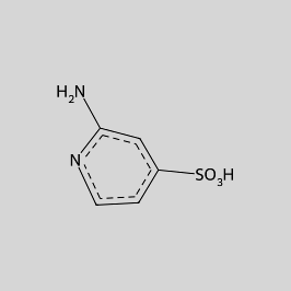 Nc1cc(S(=O)(=O)O)ccn1